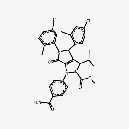 COC(=O)N1C(C(C)C)C2=C(C(=O)N(c3cc(Cl)ccc3C)C2c2ccc(Cl)cc2C)N1c1ccc(C(N)=O)cc1